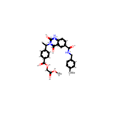 COc1ccc(CNC(=O)c2ccc3[nH]c(=O)n(C(C)c4ccc(C(=O)OCC(=O)OC(C)(C)C)cc4)c(=O)c3c2)cc1